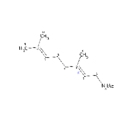 CC(=O)NC/C=C(\C)CCC=C(C)C